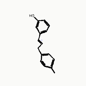 Cc1ccc(C/C=C/c2cccc(O)c2)cc1